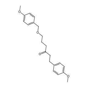 COc1ccc(CCC(=O)CCCOCc2ccc(OC)cc2)cc1